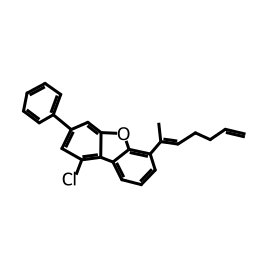 C=CCC/C=C(\C)c1cccc2c1oc1cc(-c3ccccc3)cc(Cl)c12